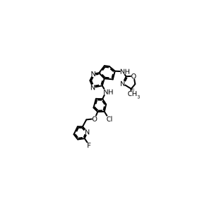 C[C@@H]1COC(Nc2ccc3ncnc(Nc4ccc(OCc5cccc(F)n5)c(Cl)c4)c3c2)=N1